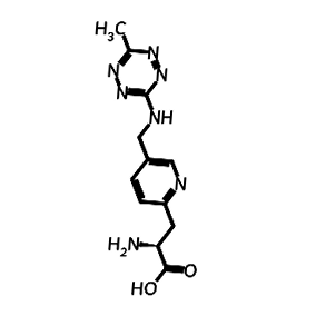 Cc1nnc(NCc2ccc(C[C@H](N)C(=O)O)nc2)nn1